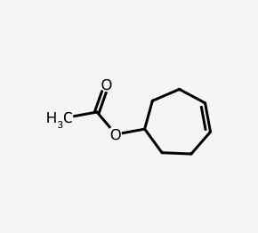 CC(=O)OC1CCC=CCC1